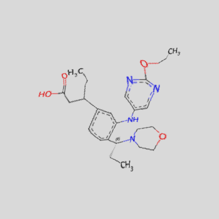 CCOc1ncc(Nc2cc(C(CC)CC(=O)O)ccc2[C@@H](CC)N2CCOCC2)cn1